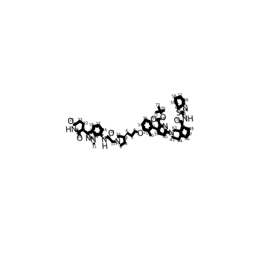 Cc1c(OCCC[C@H]2CCN(CC(=O)Nc3cccc4c(C5CCC(=O)NC5=O)nn(C)c34)C2)cccc1-c1ccc(N2CCc3cccc(C(=O)Nc4nc5ccccc5s4)c3C2)nc1C(=O)OC(C)(C)C